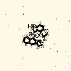 O=S(=O)(c1cccc2ccccc12)c1n[nH]c2ccc3c(c12)O[C@@H](CN1CCCC1)CO3